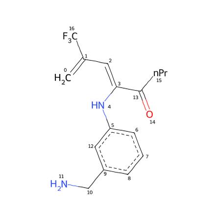 C=C(/C=C(\Nc1cccc(CN)c1)C(=O)CCC)C(F)(F)F